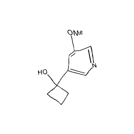 COc1cncc(C2(O)CCC2)c1